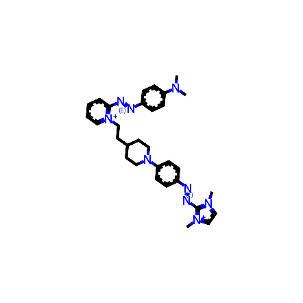 CN(C)c1ccc(/N=N/c2cccc[n+]2CCC2CCN(c3ccc(/N=N/c4n(C)cc[n+]4C)cc3)CC2)cc1